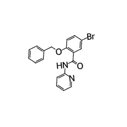 O=C(Nc1ccccn1)c1cc(Br)ccc1OCc1ccccc1